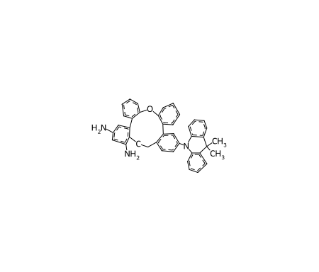 CC1(C)c2ccccc2N(c2ccc3c(c2)-c2ccccc2Oc2ccccc2-c2cc(N)cc(N)c2CC3)c2ccccc21